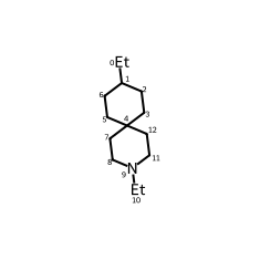 CCC1CCC2(CC1)CCN(CC)CC2